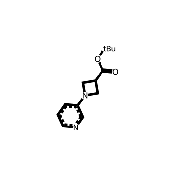 CC(C)(C)OC(=O)C1CN(c2cccnc2)C1